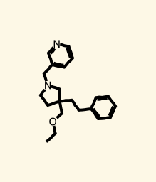 CCOCC1(CCc2ccccc2)CCN(Cc2cccnc2)C1